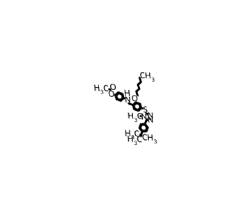 CCCCCCCOc1cc(Sc2nnc(-c3ccc(C(C)(C)C)cc3)n2C)ccc1CNc1ccc(OC(C)=O)cc1